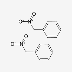 O=[N+]([O-])Cc1ccccc1.O=[N+]([O-])Cc1ccccc1